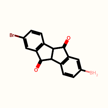 Bc1ccc2c(c1)C(=O)C1c3ccc(Br)cc3C(=O)C21